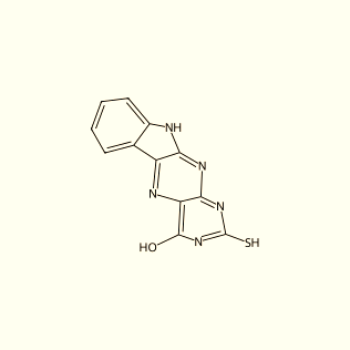 Oc1nc(S)nc2nc3[nH]c4ccccc4c3nc12